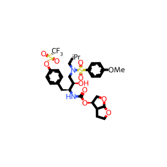 COc1ccc(S(=O)(=O)N(CC(C)C)C[C@@H](O)[C@H](Cc2ccc(OS(=O)(=O)C(F)(F)F)cc2)NC(=O)O[C@H]2COC3OCCC32)cc1